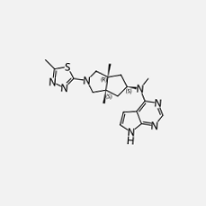 Cc1nnc(N2C[C@]3(C)C[C@@H](N(C)c4ncnc5[nH]ccc45)C[C@]3(C)C2)s1